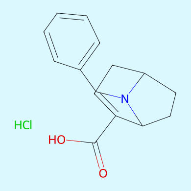 Cl.O=C(O)C1=CCC2CCC1N2Cc1ccccc1